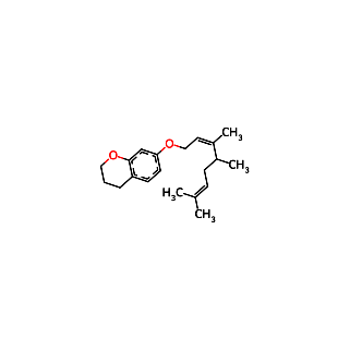 CC(C)=CCC(C)C(C)=CCOc1ccc2c(c1)OCCC2